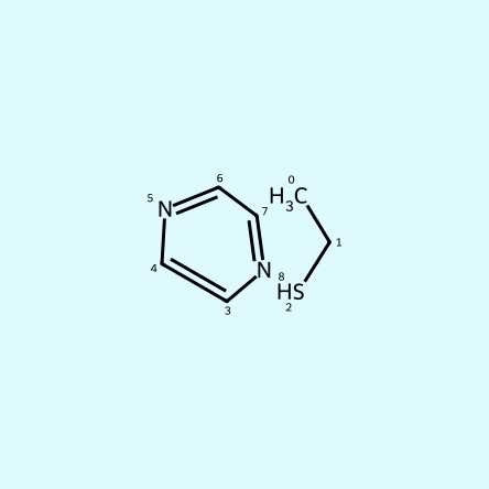 CCS.c1cnccn1